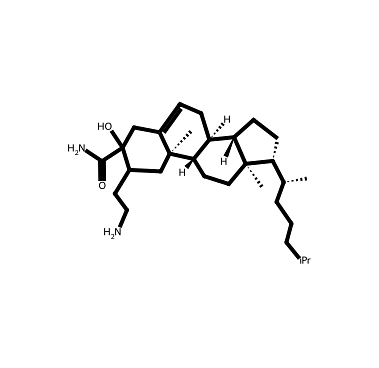 CC(C)CCC[C@@H](C)[C@H]1CC[C@H]2[C@@H]3CC=C4CC(O)(C(N)=O)C(CCN)C[C@]4(C)[C@H]3CC[C@]12C